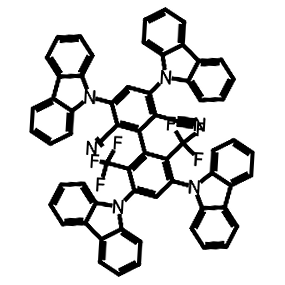 N#Cc1c(-n2c3ccccc3c3ccccc32)cc(-n2c3ccccc3c3ccccc32)c(C#N)c1-c1c(C(F)(F)F)c(-n2c3ccccc3c3ccccc32)cc(-n2c3ccccc3c3ccccc32)c1C(F)(F)F